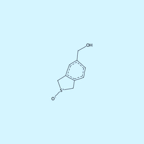 [O-][S+]1Cc2ccc(CO)cc2C1